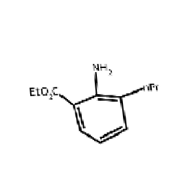 CCCc1cccc(C(=O)OCC)c1N